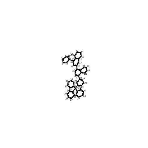 c1ccc2c(c1)Sc1cccc3cc(-c4ccc(-c5ccc6c(c5)C5(c7ccccc7-c7ccccc75)c5ccccc5-6)c5ccccc45)cc-2c13